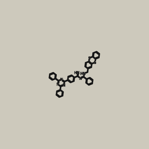 N=C(/N=C(\NCc1ccc2c(c1)Sc1ccccc1S2)c1ccccc1)c1ccc(-c2nc(-c3ccccc3)nc(-c3ccccc3)n2)cc1